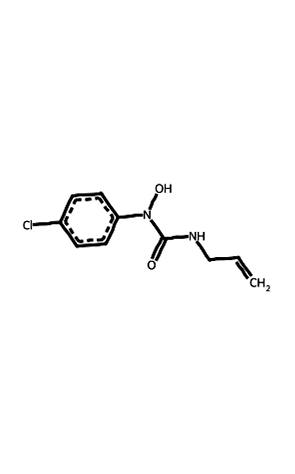 C=CCNC(=O)N(O)c1ccc(Cl)cc1